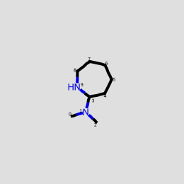 CN(C)C1CCCCCN1